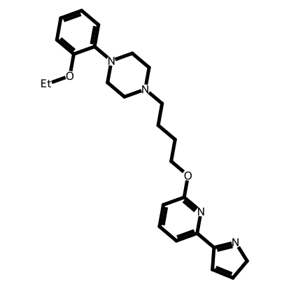 CCOc1ccccc1N1CCN(CCCCOc2cccc(C3=NCC=C3)n2)CC1